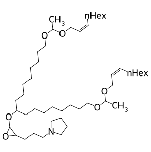 CCCCCC/C=C\COC(C)OCCCCCCCCC(CCCCCCCCOC(C)OC/C=C\CCCCCC)OC1OC1CCCN1CCCC1